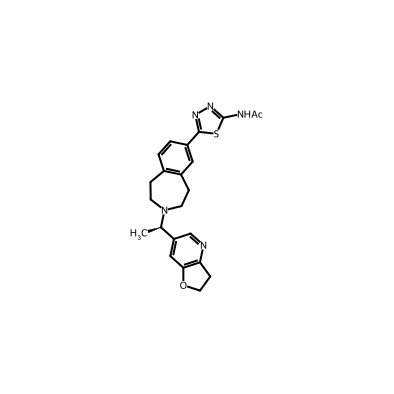 CC(=O)Nc1nnc(-c2ccc3c(c2)CCN([C@H](C)c2cnc4c(c2)OCC4)CC3)s1